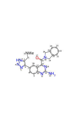 CNCc1[nH]nnc1-c1ccc2nc(N)nc(C(=O)N3Cc4ccccc4C3)c2c1